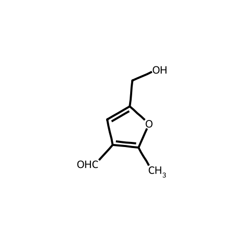 Cc1oc(CO)cc1C=O